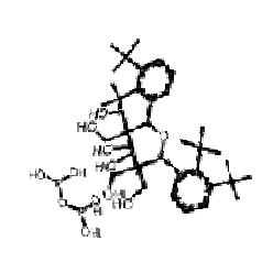 CC(C)(C)c1cccc(C(OC(c2cccc(C(C)(C)C)c2C(C)(C)C)C(CO)(CO)CO)C(CO)(CO)CO)c1C(C)(C)C.OP(O)OP(O)O